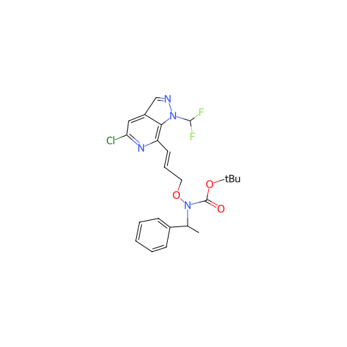 CC(c1ccccc1)N(OCC=Cc1nc(Cl)cc2cnn(C(F)F)c12)C(=O)OC(C)(C)C